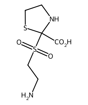 NCCS(=O)(=O)C1(C(=O)O)NCCS1